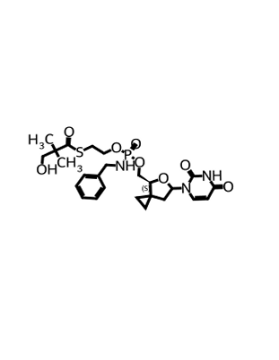 CC(C)(CO)C(=O)SCCOP(=O)(NCc1ccccc1)OC[C@H]1OC(n2ccc(=O)[nH]c2=O)CC12CC2